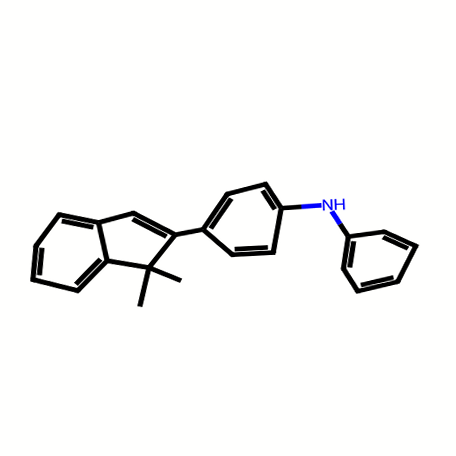 CC1(C)C(c2ccc(Nc3ccccc3)cc2)=Cc2ccccc21